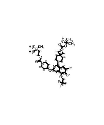 CC(C)(C)OC(=O)N1CC2(CCN(c3nc(OC4CCN(C(=O)OCC[Si](C)(C)C)CC4)nc4c(OCC(F)(F)F)c(Br)c(I)cc34)CC2)C1